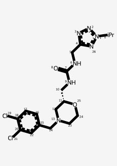 CC(C)n1nnc(CNC(=O)NC[C@H]2CN(Cc3ccc(Cl)c(Cl)c3)CCO2)n1